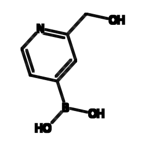 OCc1cc(B(O)O)ccn1